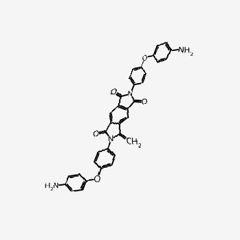 C=C1c2cc3c(cc2C(=O)N1c1ccc(Oc2ccc(N)cc2)cc1)C(=O)N(c1ccc(Oc2ccc(N)cc2)cc1)C3=O